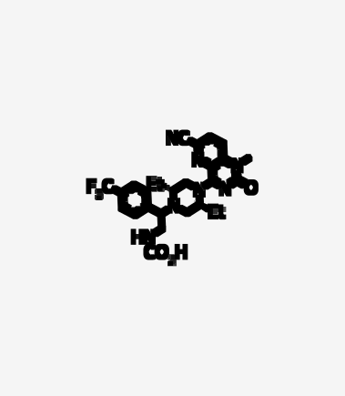 CC[C@H]1CN(C(CNC(=O)O)c2ccc(C(F)(F)F)cc2)[C@H](CC)CN1c1nc(=O)n(C)c2ccc(C#N)nc12